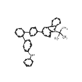 CC(C)(C)n1c2ccccc2c2cc(-c3ccc(-c4ccccc4-c4ccc(Nc5ccccc5)cc4)cc3)ccc21